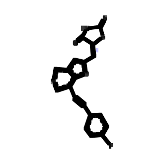 O=C1NC(=S)S/C1=C/c1cc2cncc(C#Cc3ccc(F)cc3)c2o1